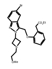 CCOC(=O)Cc1ccccc1OCc1c2cc(Br)ccc2nn1C1CN(CCOC)C1